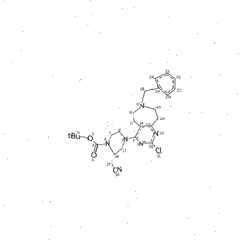 CC(C)(C)OC(=O)N1CCN(c2nc(Cl)nc3c2CCN(Cc2ccccc2)CC3)C[C@@H]1CC#N